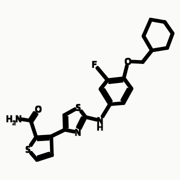 NC(=O)c1sccc1-c1csc(Nc2ccc(OCC3CCCCC3)c(F)c2)n1